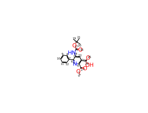 COC(=O)c1nc(-c2ccccc2)c(NC(=O)OC(C)(C)C)cc1C(=O)O